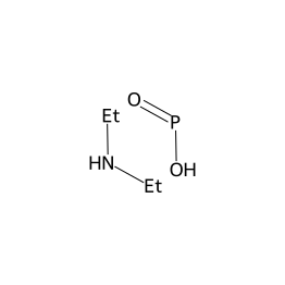 CCNCC.O=PO